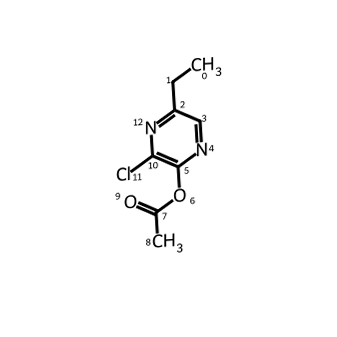 CCc1cnc(OC(C)=O)c(Cl)n1